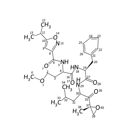 COCCC(NC(=O)c1cc(C(C)C)on1)C(=O)N[C@@H](Cc1ccccc1)C(=O)NC(CC(C)C)C(=O)[C@@]1(C)CO1